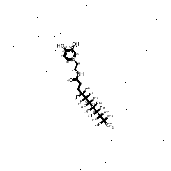 O=C(CCC(F)(F)C(F)(F)C(F)(F)C(F)(F)C(F)(F)C(F)(F)C(F)(F)C(F)(F)F)NCC[n+]1ccc(O)c(O)c1